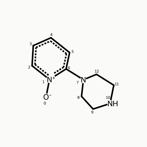 [O-][n+]1ccccc1N1CCNCC1